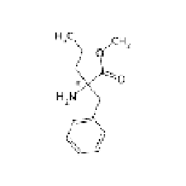 CCC[C@](N)(Cc1ccccc1)C(=O)OC